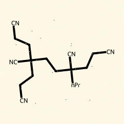 CCCC(C#N)(CCC#N)CCC(C#N)(CCC#N)CCC#N